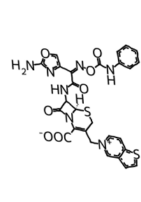 Nc1nc(/C(=N/OC(=O)Nc2ccccc2)C(=O)NC2C(=O)N3C(C(=O)[O-])=C(C[n+]4ccc5sccc5c4)CS[C@H]23)co1